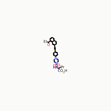 CCC(=O)c1cccc2ccc(C#Cc3ccc(N4CCN(S(=O)(=O)NC(C(=O)O)C(C)C)CC4)cc3)cc12